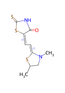 CC1CN(C)/C(=C/C=C2/SC(=S)NC2=O)S1